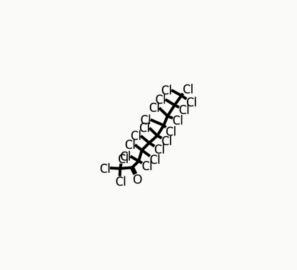 O=C(C(Cl)(Cl)Cl)C(Cl)(Cl)C(Cl)(Cl)C(Cl)(Cl)C(Cl)(Cl)C(Cl)(Cl)C(Cl)(Cl)C(Cl)(Cl)C(Cl)(Cl)Cl